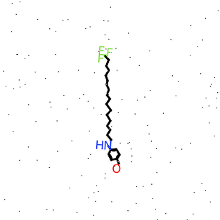 O=Cc1ccc(NCCCCCCCCCCCCCCCCCC(F)(F)F)cc1